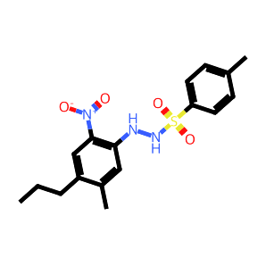 CCCc1cc([N+](=O)[O-])c(NNS(=O)(=O)c2ccc(C)cc2)cc1C